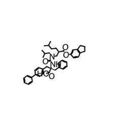 CC(C)CCC(CN(CC(C)C)C(=O)N[C@@](Cc1ccccc1)(Cc1ccc(-c2ccccc2)cc1)C(=O)O)C(=O)Oc1ccc2c(c1)CCC2